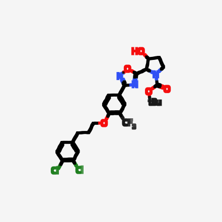 CC(C)(C)OC(=O)N1CCC(O)C1c1nc(-c2ccc(OCCCc3ccc(Cl)c(Cl)c3)c(C(F)(F)F)c2)no1